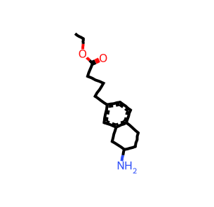 CCOC(=O)CCCc1ccc2c(c1)CC(N)CC2